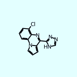 Clc1cccc2c1nc(-c1nnc[nH]1)c1cccn12